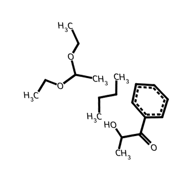 CC(O)C(=O)c1ccccc1.CCCC.CCOC(C)OCC